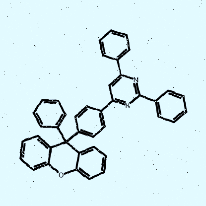 c1ccc(-c2cc(-c3ccc(C4(c5ccccc5)c5ccccc5Oc5ccccc54)cc3)nc(-c3ccccc3)n2)cc1